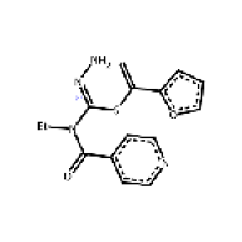 C=C(S/C(=N\N)N(CC)C(=O)c1ccncc1)c1ccco1